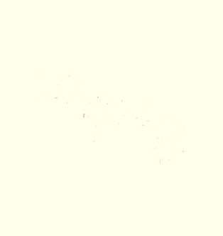 Cc1ccc(-c2nn3cc(C(=O)NC(CO)c4ccccc4F)cc3c(=O)[nH]2)cc1C